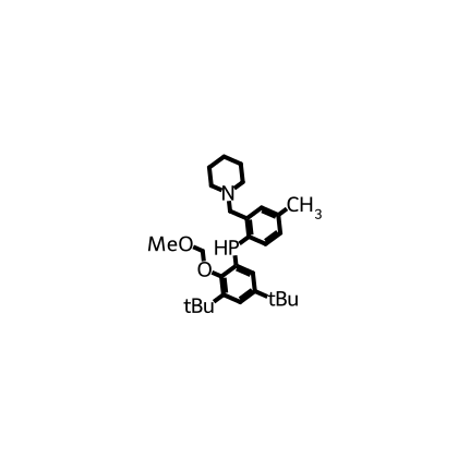 COCOc1c(Pc2ccc(C)cc2CN2CCCCC2)cc(C(C)(C)C)cc1C(C)(C)C